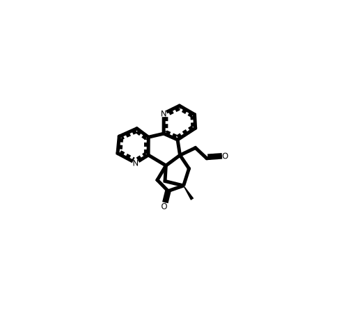 C[C@@]12CC3(CC=O)c4cccnc4-c4cccnc4C3(CC1=O)C2